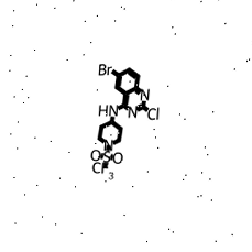 O=S(=O)(N1CCC(Nc2nc(Cl)nc3ccc(Br)cc23)CC1)C(F)(F)F